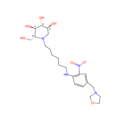 O=[N+]([O-])c1cc(CN2CCOC2)ccc1NCCCCCCN1C[C@H](O)[C@@H](O)[C@H](O)[C@H]1CO